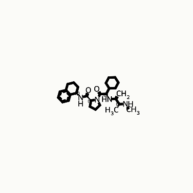 C=C(N[C@H](C(=O)N1CCC[C@H]1C(=O)N[C@@H]1CCCc2ccccc21)C1CCCCC1)[C@H](C)NC